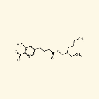 CCCCC(CC)COC(=O)CCSc1cnc([N+](=O)[O-])c(C)c1